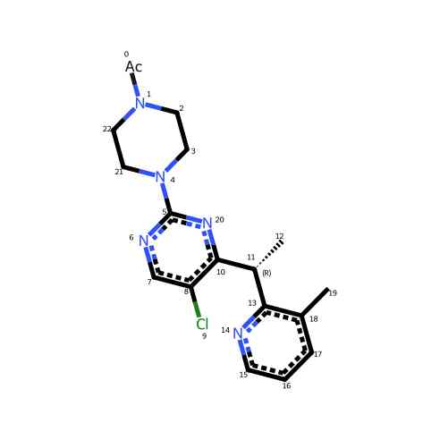 CC(=O)N1CCN(c2ncc(Cl)c([C@H](C)c3ncccc3C)n2)CC1